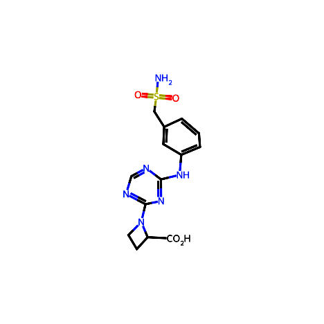 NS(=O)(=O)Cc1cccc(Nc2ncnc(N3CCC3C(=O)O)n2)c1